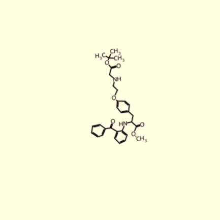 COC(=O)C(Cc1ccc(OCCNCC(=O)OC(C)(C)C)cc1)Nc1ccccc1C(=O)c1ccccc1